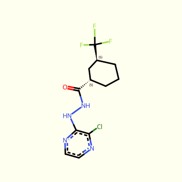 O=C(NNc1nccnc1Cl)[C@H]1CCC[C@H](C(F)(F)F)C1